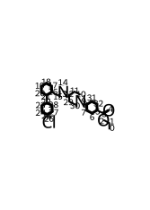 CCOC(=O)c1ccc(N2CCC(N(C)Cc3ccccc3-c3ccc(Cl)cc3)CC2)cc1